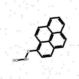 OBOc1ccc2ccc3cccc4ccc1c2c34